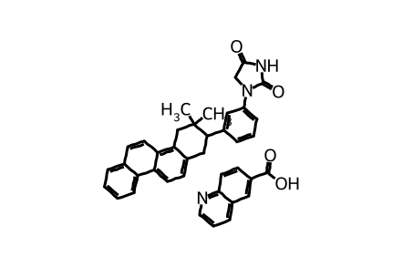 CC1(C)Cc2c(ccc3c2ccc2ccccc23)CC1c1cccc(N2CC(=O)NC2=O)c1.O=C(O)c1ccc2ncccc2c1